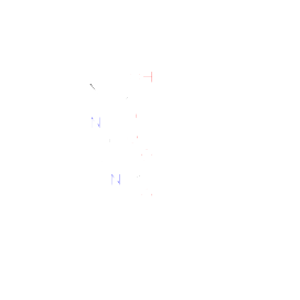 CC(C)CC(C(=O)N(C)[C@H](C(=O)O)C(C)C)N(C)C(=O)OCC1c2ccccc2-c2ccccc21